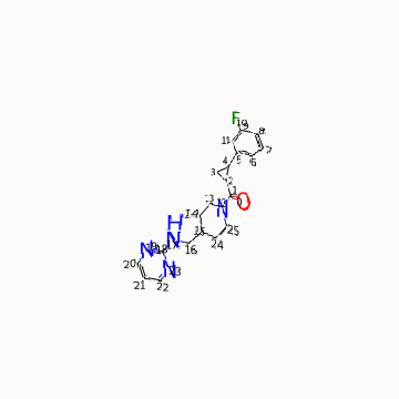 O=C(C1CC1c1cccc(F)c1)N1CCC(CNc2ncccn2)CC1